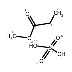 CCC(=O)OC.O=S(=O)(O)O